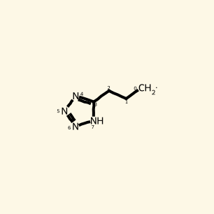 [CH2]CCc1nnn[nH]1